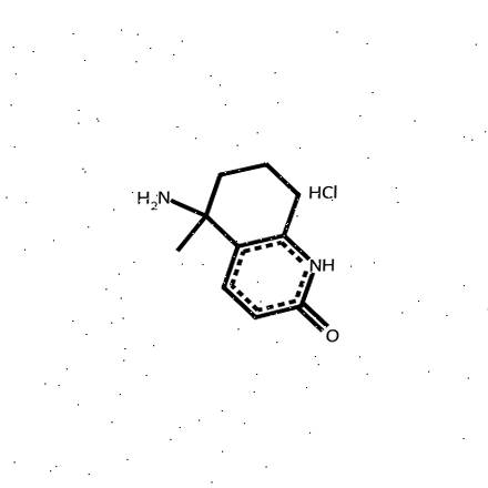 CC1(N)CCCc2[nH]c(=O)ccc21.Cl